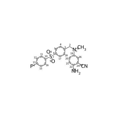 CN(Cc1ccc(S(=O)(=O)c2ccc(F)cc2)cc1)c1ccc(N)c(C#N)c1